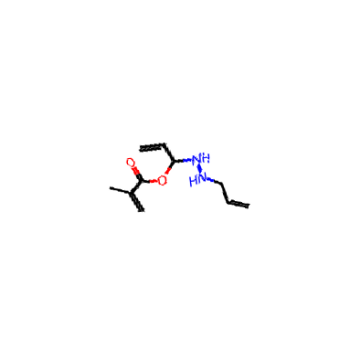 C=CCNNC(C=C)OC(=O)C(=C)C